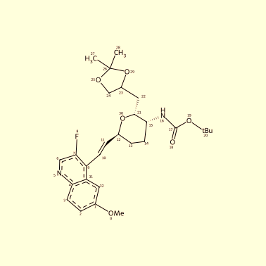 COc1ccc2ncc(F)c(/C=C/[C@@H]3CC[C@@H](NC(=O)OC(C)(C)C)[C@@H](CC4COC(C)(C)O4)O3)c2c1